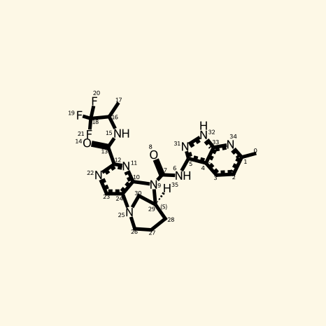 Cc1ccc2c(NC(=O)N3c4nc(C(=O)NC(C)C(F)(F)F)ncc4N4CCC[C@H]3C4)n[nH]c2n1